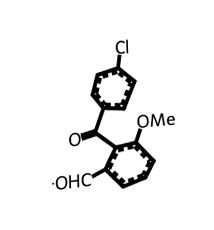 COc1cccc([C]=O)c1C(=O)c1ccc(Cl)cc1